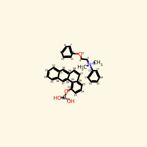 C[N+](C)(CCOc1ccccc1)c1ccccc1.OB(O)Oc1cccc2ccc3cc4ccccc4cc3c12